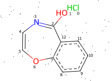 Cl.OC1=NC=COc2ccccc21